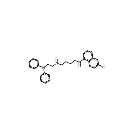 Clc1ccc2c(NCCCCNCCN(c3ccccc3)c3ccccc3)ccnc2c1